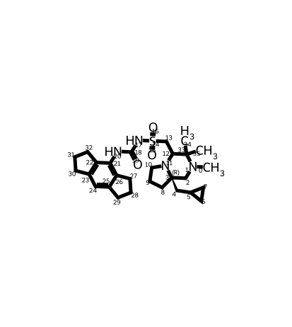 CN1C[C@]2(CC3CC3)CCCN2C(CS(=O)(=O)NC(=O)Nc2c3c(cc4c2CCC4)CCC3)C1(C)C